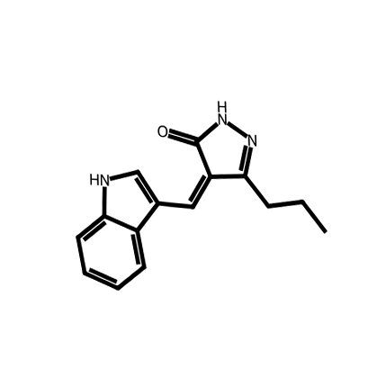 CCCC1=NNC(=O)/C1=C\c1c[nH]c2ccccc12